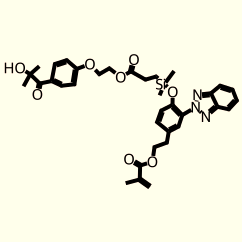 C=C(C)C(=O)OCCc1ccc(O[Si](C)(C)CCC(=O)OCCOc2ccc(C(=O)C(C)(C)O)cc2)c(-n2nc3ccccc3n2)c1